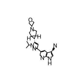 CC(C)n1nc(-c2cnc3[nH]cc(C#N)c3c2)cc1[C@@H]1[C@@H]2CN(C3COC3)C[C@@H]21